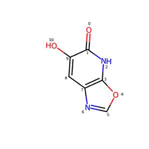 O=c1[nH]c2ocnc2cc1O